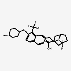 C[C@H]1CC[C@@H](Oc2ccc3ccc(CCN4C5CC[C@@H]4CC(C(=O)O)C5)cc3c2C(F)(F)F)CC1